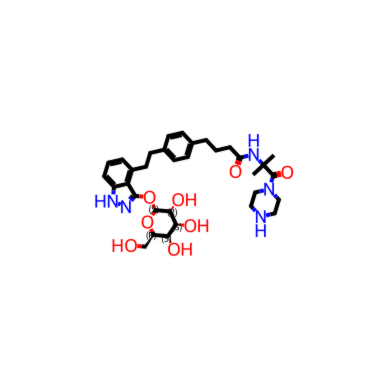 CC(C)(NC(=O)CCCc1ccc(CCc2cccc3[nH]nc(O[C@@H]4O[C@H](CO)[C@@H](O)[C@H](O)[C@H]4O)c23)cc1)C(=O)N1CCNCC1